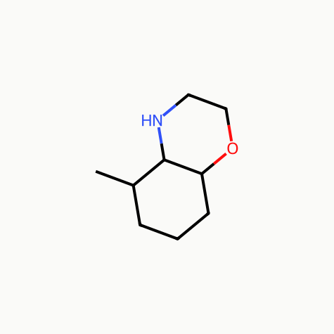 CC1CCCC2OCCNC12